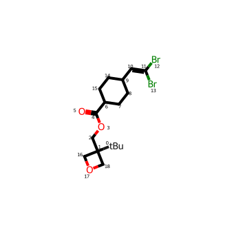 CC(C)(C)C1(COC(=O)C2CCC(C=C(Br)Br)CC2)COC1